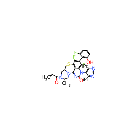 C=CC(=O)N1CC2CSc3c(F)c(-c4c(O)cccc4F)c(F)c4c3c(nc(=O)n4-c3c(C(C)C)ncnc3C(C)C)N2CC1C